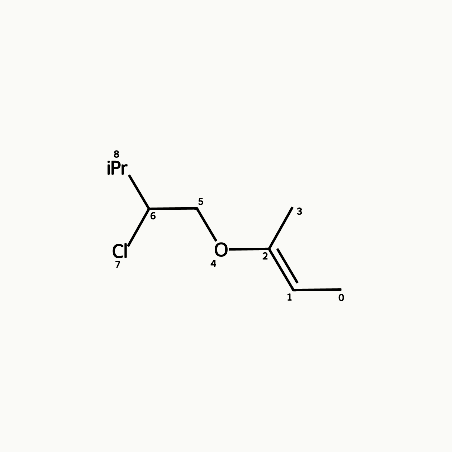 C/C=C(\C)OCC(Cl)C(C)C